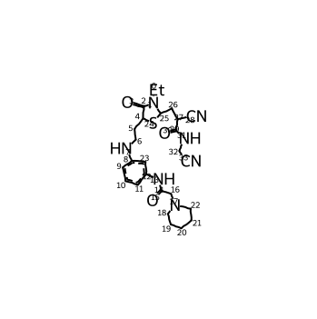 CCN1C(=O)C(CCNc2cccc(NC(=O)CN3CCCCC3)c2)SC1CC(C#N)C(=O)NCC#N